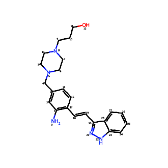 Nc1cc(CN2CCN(CCCO)CC2)ccc1/C=C/c1n[nH]c2ccccc12